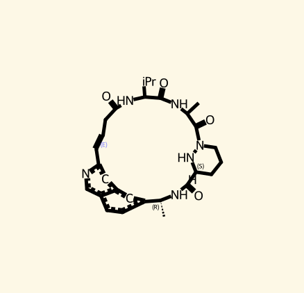 CC1NC(=O)C(C(C)C)NC(=O)C/C=C/c2cc3cc(ccc3cn2)[C@@H](C)NC(=O)[C@@H]2CCCN(N2)C1=O